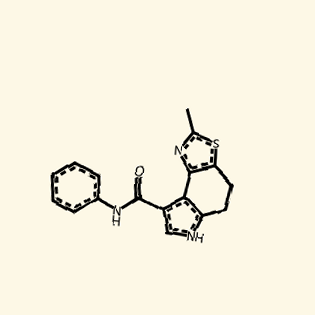 Cc1nc2c(s1)CCc1[nH]cc(C(=O)Nc3ccccc3)c1-2